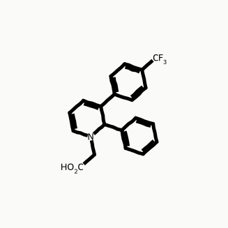 O=C(O)CN1C=CC=C(c2ccc(C(F)(F)F)cc2)C1c1ccccc1